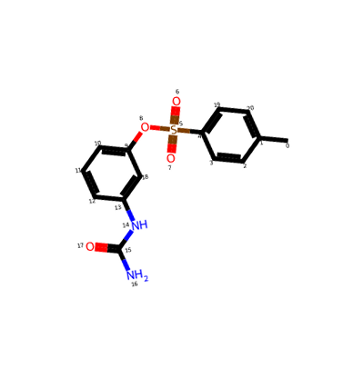 Cc1ccc(S(=O)(=O)Oc2cccc(NC(N)=O)c2)cc1